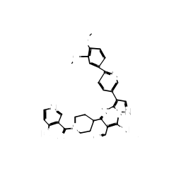 COc1ccc(-c2ccc(-c3cnn4c(N)c(C=O)c(C5CCN(C(=O)c6cnccc6O)CC5)nc34)cn2)cc1OC